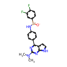 CN(C)c1nc(-c2ccc(N[S+]([O-])c3ccc(F)c(F)c3)cc2)c2cc[nH]c2n1